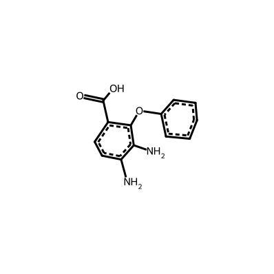 Nc1ccc(C(=O)O)c(Oc2ccccc2)c1N